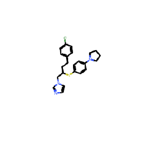 Clc1ccc(CCC(Cn2ccnc2)Sc2ccc(N3CCCC3)cc2)cc1